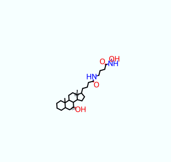 CC12CCCCC1C[C@H](O)C1C2CC[C@]2(C)C(CCCC(=O)NCCCC(=O)NO)CCC12